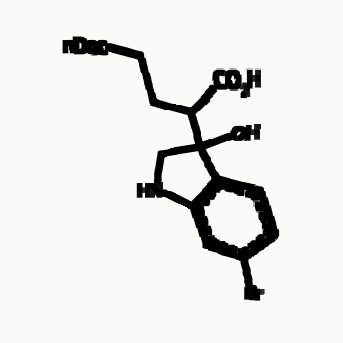 CCCCCCCCCCCCC(C(=O)O)C1(O)CNc2cc(Br)ccc21